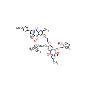 COc1ccc(C2=CN3C(=O)c4cc(C)c(OCCCOc5cc6c(cc5OC)C(=O)N5C=C(C)C[C@H]5C(=O)N6COCC[Si](C)(C)C)cc4N(COCC[Si](C)(C)C)C(=O)[C@@H]3C2)cc1